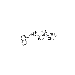 C/C(N)=C(/N)c1ccnc(-c2cn(CCc3cccc4ccccc34)cn2)c1